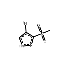 [2H]c1c[nH]nc1S(C)(=O)=O